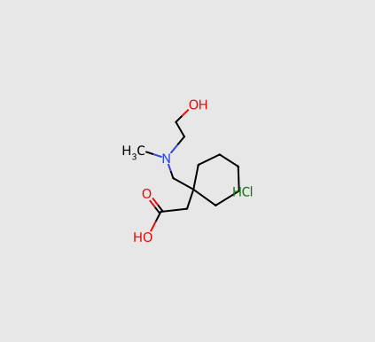 CN(CCO)CC1(CC(=O)O)CCCCC1.Cl